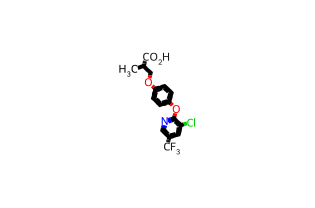 CC(COc1ccc(Oc2ncc(C(F)(F)F)cc2Cl)cc1)C(=O)O